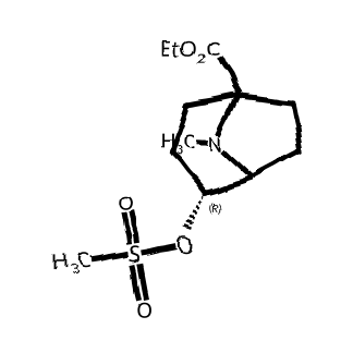 CCOC(=O)C12CCC([C@H](OS(C)(=O)=O)CC1)N2C